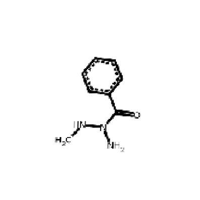 CNN(N)C(=O)c1ccccc1